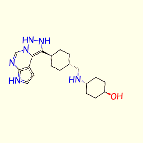 O[C@H]1CC[C@H](NC[C@H]2CC[C@H](C3=C4c5cc[nH]c5N=CN4NN3)CC2)CC1